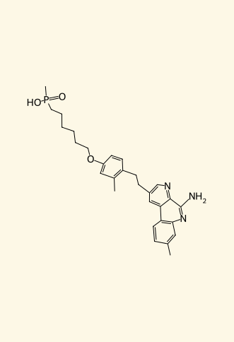 Cc1ccc2c(c1)nc(N)c1ncc(CCc3ccc(OCCCCCCP(C)(=O)O)cc3C)cc12